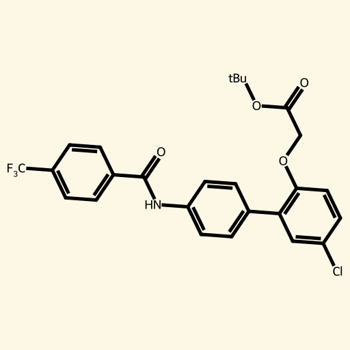 CC(C)(C)OC(=O)COc1ccc(Cl)cc1-c1ccc(NC(=O)c2ccc(C(F)(F)F)cc2)cc1